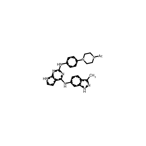 CC(=O)N1CCN(c2ccc(Nc3nc(Nc4ccc5c(C)n[nH]c5c4)c4cc[nH]c4n3)cc2)CC1